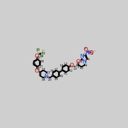 O=[N+]([O-])c1cn2c(n1)O[C@@H](COc1ccc(-c3ccc(CN4CCC(Oc5ccc(OC(F)(F)F)cc5)CC4)cc3)cc1)CC2